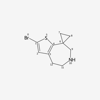 Brc1cc2c(s1)C1(CC1)CNCC2